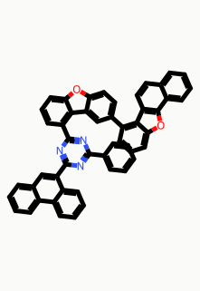 c1ccc(-c2nc(-c3cc4ccccc4c4ccccc34)nc(-c3cccc4oc5ccc(-c6cccc7oc8c9ccccc9ccc8c67)cc5c34)n2)cc1